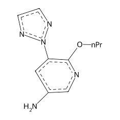 CCCOc1ncc(N)cc1-n1nccn1